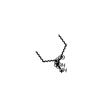 CCCCCCCC/C=C\CCCCCCCC(=O)OCC(COP(=O)(O)OCCNC(C)(C)C)OC(=O)CCCCCCC/C=C\CCCCCCCC